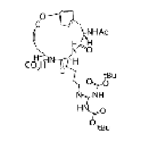 CC(=O)N[C@H]1Cc2ccc(cc2)OC/C=C\C[C@@H](C(=O)O)NC(=O)[C@H](CCCCN=C(NC(=O)OC(C)(C)C)NC(=O)OC(C)(C)C)NC1=O